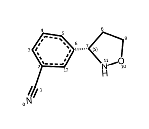 N#Cc1cccc([C@@H]2CCON2)c1